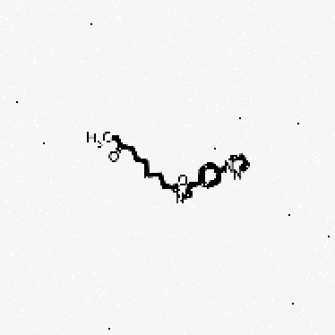 CCC(=O)CCCCCCc1ncc(-c2ccc(-n3cccn3)cc2)o1